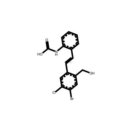 O=C(O)Nc1ccccc1/C=C/c1cc(Cl)c(Br)cc1CO